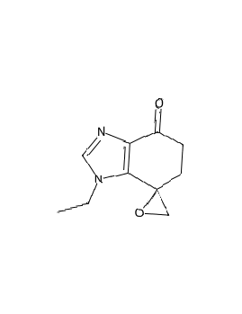 CCn1cnc2c1C1(CCC2=O)CO1